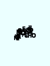 C[C@@H]1CN(c2c(C=O)cc3c(-n4ccnc4)noc3c2F)C[C@H](C)O1